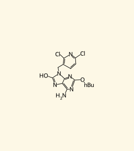 CCCCOc1nc(N)c2nc(O)n(Cc3ccc(Cl)nc3Cl)c2n1